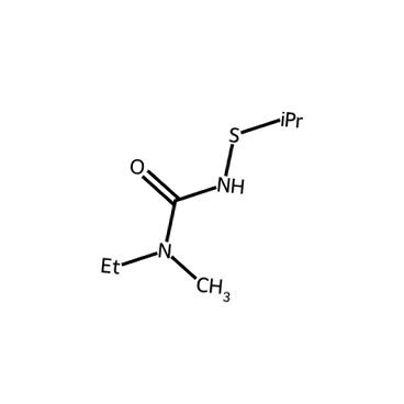 [CH2]CN(C)C(=O)NSC(C)C